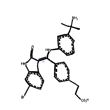 CC(C)(N)c1cccc(N/C(=C2\C(=O)Nc3cc(Br)ccc32)c2ccc(CCC(=O)O)cc2)c1